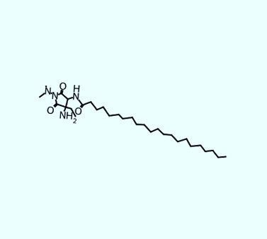 CCCCCCCCCCCCCCCCCCCCCC(=O)NC1C(=O)N(N(C)C)C(=O)C1(N)CC